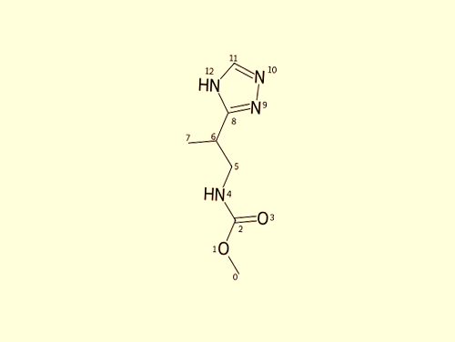 COC(=O)NCC(C)c1nnc[nH]1